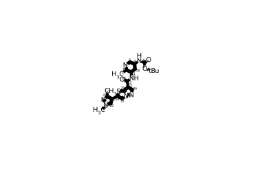 Cc1ncc(NC(=O)OC(C)(C)C)cc1NC(=O)c1cnn2cc(-c3cn(C)nc3C)sc12